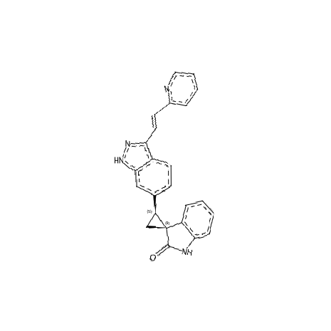 O=C1Nc2ccccc2[C@]12C[C@H]2c1ccc2c(C=Cc3ccccn3)n[nH]c2c1